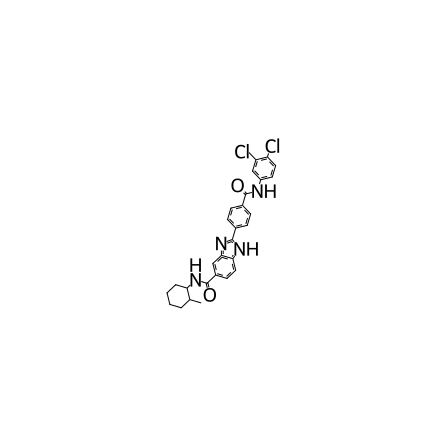 CC1CCCCC1NC(=O)c1ccc2[nH]c(-c3ccc(C(=O)Nc4ccc(Cl)c(Cl)c4)cc3)nc2c1